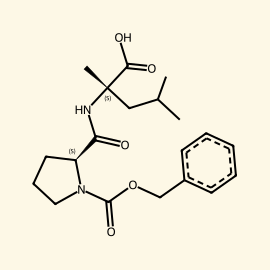 CC(C)C[C@](C)(NC(=O)[C@@H]1CCCN1C(=O)OCc1ccccc1)C(=O)O